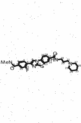 CNC(=O)c1ccc(-c2cn3c(n2)sc2cc(C(=O)NCCCN4CCCCC4)ccc23)c(F)c1